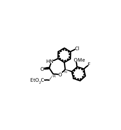 CCOC(=O)C[C@H]1O[C@H](c2cccc(F)c2OC)c2cc(Cl)ccc2NC1=O